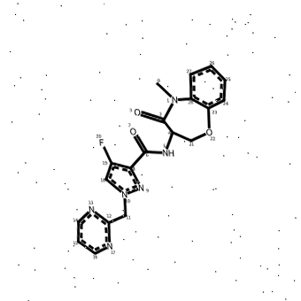 CN1C(=O)C(NC(=O)c2nn(Cc3ncccn3)cc2F)COc2ccccc21